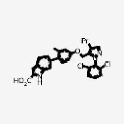 Cc1cc(OCc2c(C(C)C)cnn2-c2c(Cl)cccc2Cl)ccc1-c1ccc2cc(C(=O)O)[nH]c2c1